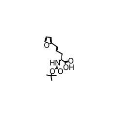 CC(C)(C)OC(=O)N[C@@H](C/C=C/c1ccco1)C(=O)O